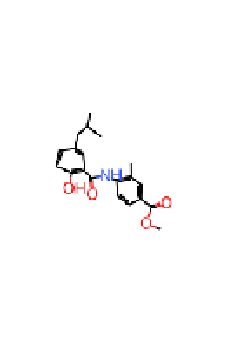 COC(=O)c1ccc(NC(=O)c2cc(CC(C)C)ccc2O)c(C)c1